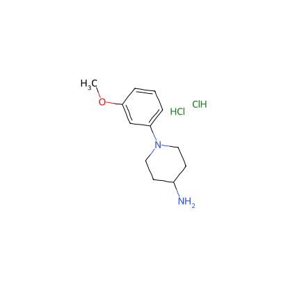 COc1cccc(N2CCC(N)CC2)c1.Cl.Cl